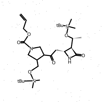 C=CCOC(=O)N1CC(CO[Si](C)(C)C(C)(C)C)C(C(=O)C[C@H]2NC(=O)[C@@H]2[C@@H](C)O[Si](C)(C)C(C)(C)C)C1